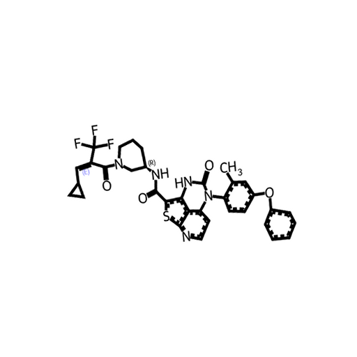 Cc1cc(Oc2ccccc2)ccc1N1C(=O)Nc2c(C(=O)N[C@@H]3CCCN(C(=O)/C(=C\C4CC4)C(F)(F)F)C3)sc3nccc1c23